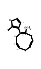 CC1=C(/C2=C(\N)CC=CCC=CC2)C=CC1